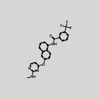 CNc1nccc(Oc2ccc3c(NC(=O)c4cccc(C(F)(F)F)c4)cccc3c2)n1